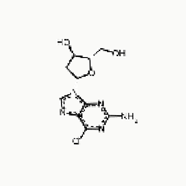 Nc1nc(Cl)c2ncn([C@@H]3C[C@@H](O)[C@H](CO)O3)c2n1